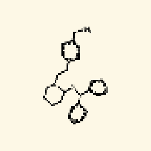 NCc1ccc(CCN2CCCCC2OC(c2ccccc2)c2ccccc2)cc1